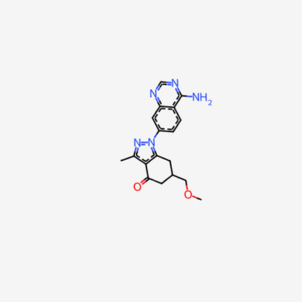 COCC1CC(=O)c2c(C)nn(-c3ccc4c(N)ncnc4c3)c2C1